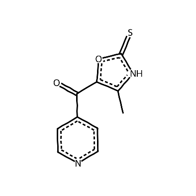 Cc1[nH]c(=S)oc1C(=O)c1ccncc1